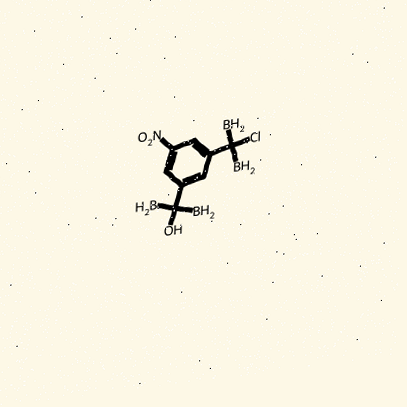 BC(B)(O)c1cc([N+](=O)[O-])cc(C(B)(B)Cl)c1